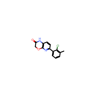 Cc1cccc(-c2ccc3c(n2)OCC(=O)N3)c1Cl